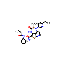 C=CC(=O)N[C@H]1CCC[C@H]1NC(=O)c1sc2nccc3c2c1NC(=O)SN3c1cnc(CC(C)C)cc1C